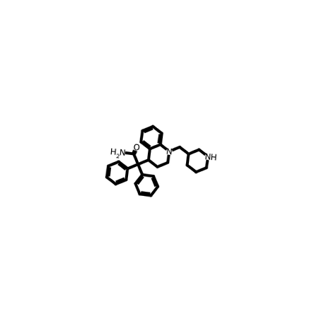 NC(=O)C(c1ccccc1)(c1ccccc1)C1CCN(CC2CCCNC2)c2ccccc21